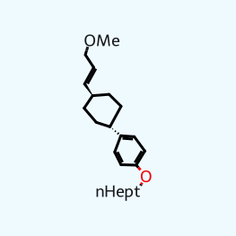 CCCCCCCOc1ccc([C@H]2CC[C@H](/C=C/COC)CC2)cc1